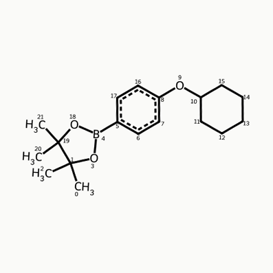 CC1(C)OB(c2ccc(OC3CCCCC3)cc2)OC1(C)C